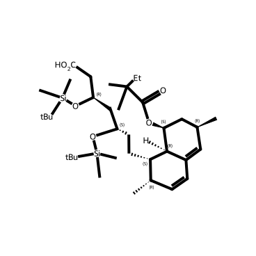 CCC(C)(C)C(=O)O[C@H]1C[C@@H](C)C=C2C=C[C@H](C)[C@H](CC[C@@H](C[C@H](CC(=O)O)O[Si](C)(C)C(C)(C)C)O[Si](C)(C)C(C)(C)C)[C@H]21